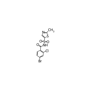 Cc1ncc(S(=O)(=O)NC(=O)c2ccc(Br)cc2Cl)s1